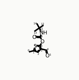 Cc1cc(C=O)c(OC(=O)NC(C)(C)C)s1